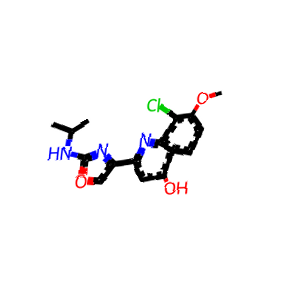 COc1ccc2c(O)cc(-c3coc(NC(C)C)n3)nc2c1Cl